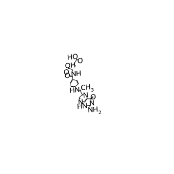 CC(Nc1ccc(C(=O)N[C@@H](CCC(=O)O)C(=O)O)cc1)c1cnc2[nH]c(N)nc(=O)c2n1